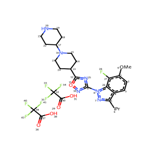 COc1ccc2c(C(C)C)nn(-c3noc(C4CCN(C5CCNCC5)CC4)n3)c2c1F.O=C(O)C(F)(F)F.O=C(O)C(F)(F)F